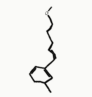 COCCC/C=C/C1=CC(C)CC=C1